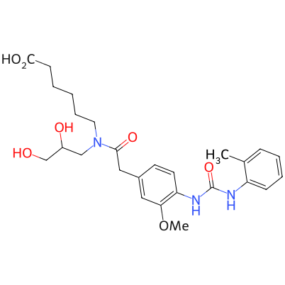 COc1cc(CC(=O)N(CCCCCC(=O)O)CC(O)CO)ccc1NC(=O)Nc1ccccc1C